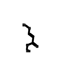 CCOC=CC(=O)OC(C)CC